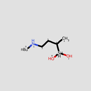 CCCCNCCC(C)[SiH](O)O